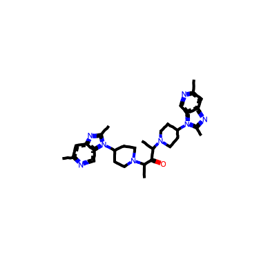 Cc1cc2nc(C)n(C3CCN(C(C)C(=O)C(C)N4CCC(n5c(C)nc6cc(C)ncc65)CC4)CC3)c2cn1